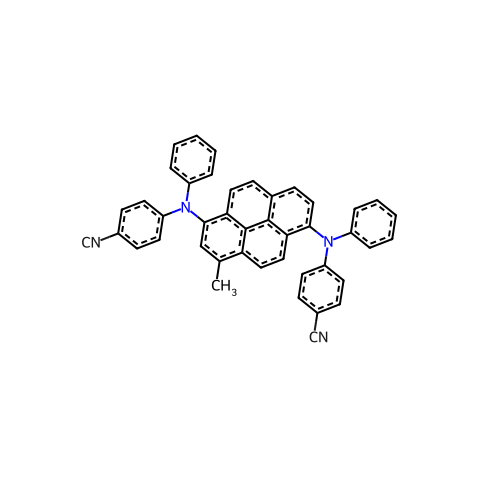 [C-]#[N+]c1ccc(N(c2ccccc2)c2cc(C)c3ccc4c(N(c5ccccc5)c5ccc(C#N)cc5)ccc5ccc2c3c54)cc1